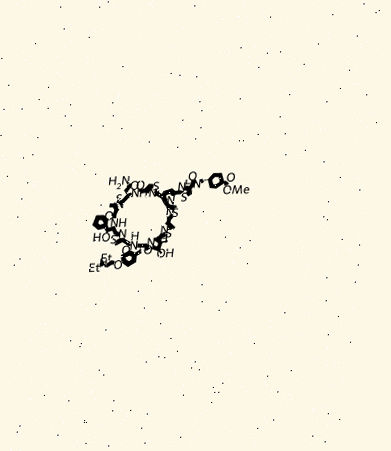 CCN(CC)CCOc1ccc(C[C@@H]2NC(=O)c3csc(n3)[C@H]([C@H](O)c3ccccc3)NC(=O)c3nc(sc3C)[C@H](CC(N)=O)NC(=O)c3csc(n3)-c3ccc(-c4nc(C(=O)NC[C@H]5CC[C@H](C(=O)OC)CC5)cs4)nc3-c3csc(n3)-c3csc(n3)[C@@H]3[C@@H](C)[C@@H](O)CN3C2=O)cc1